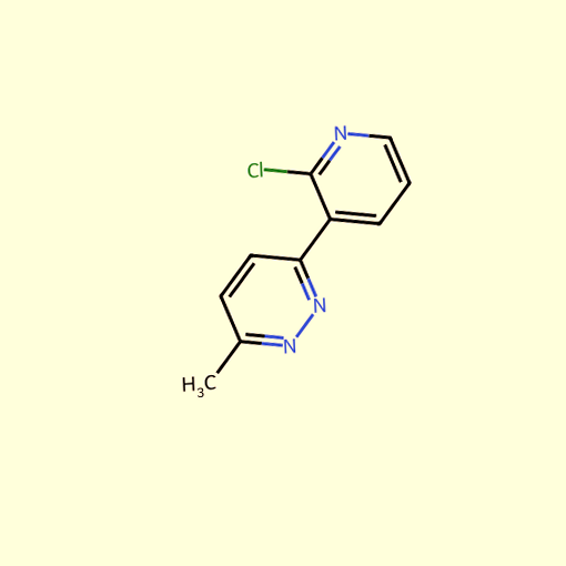 Cc1ccc(-c2cccnc2Cl)nn1